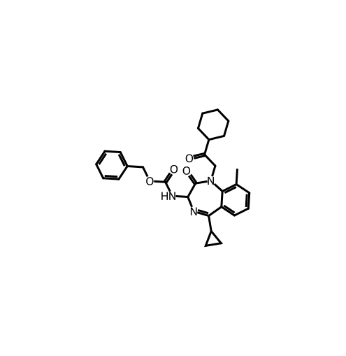 Cc1cccc2c1N(CC(=O)C1CCCCC1)C(=O)C(NC(=O)OCc1ccccc1)N=C2C1CC1